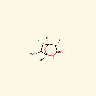 COC1[C@@H]2OC(=O)[C@@H](C)[C@@H](O2)[C@H]1C